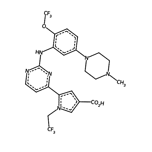 CN1CCN(c2ccc(OC(F)(F)F)c(Nc3nccc(-c4cc(C(=O)O)cn4CC(F)(F)F)n3)c2)CC1